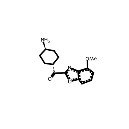 COc1cccc2oc(C(=O)[C@H]3CC[C@H](N)CC3)nc12